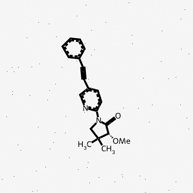 CO[C@H]1C(=O)N(c2ccc(C#Cc3ccccc3)cn2)CC1(C)C